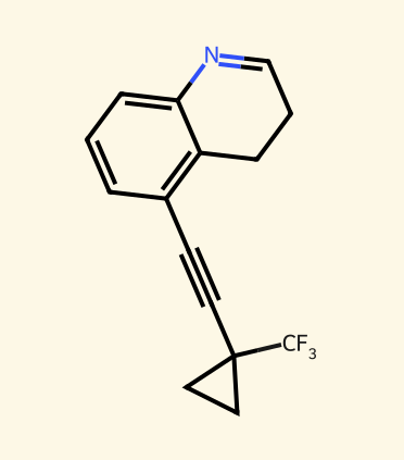 FC(F)(F)C1(C#Cc2cccc3c2CCC=N3)CC1